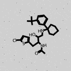 CC(=O)NC(Cc1ccc(Cl)s1)C(O)CNC1(c2cccc(C(C)(C)C)c2)CCCCC1